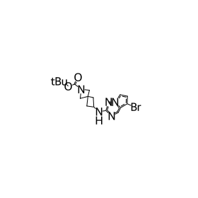 CC(C)(C)OC(=O)N1CC2(CC(Nc3ncc4c(Br)ccn4n3)C2)C1